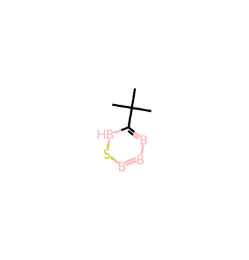 CC(C)(C)C1=BB=BSB1